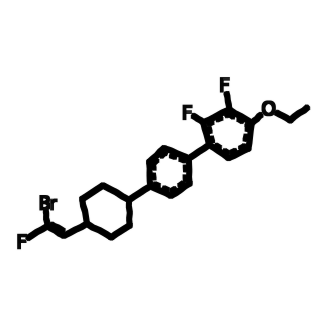 CCOc1ccc(-c2ccc(C3CCC(C=C(F)Br)CC3)cc2)c(F)c1F